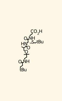 CC(COC(C)(C)CCNC(=O)CCC(C)(C)C)C(=O)N[C@@H](CSCC(C)(C)C)C(=O)NCCC(=O)O